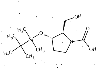 CC(C)(C)[Si](C)(C)O[C@H]1CCN(C(=O)O)[C@@H]1CO